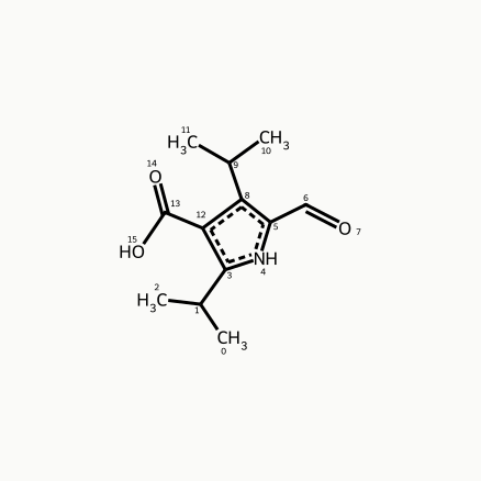 CC(C)c1[nH]c(C=O)c(C(C)C)c1C(=O)O